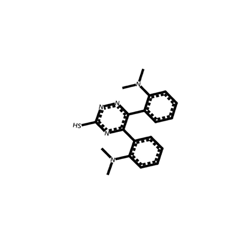 CN(C)c1ccccc1-c1nnc(S)nc1-c1ccccc1N(C)C